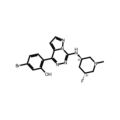 CN1C[C@H](F)C[C@@H](Nc2nnc(-c3ccc(Br)cc3O)c3ccnn23)C1